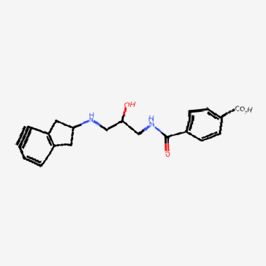 O=C(O)c1ccc(C(=O)NCC(O)CNC2Cc3c#cccc3C2)cc1